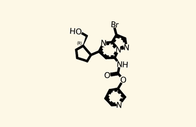 O=C(Nc1cc(C2CCC[C@H]2CO)nc2c(Br)cnn12)Oc1cccnc1